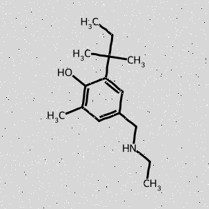 CCNCc1cc(C)c(O)c(C(C)(C)CC)c1